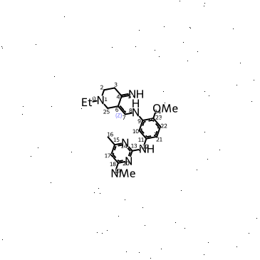 CCN1CCC(=N)/C(=C\Nc2cc(Nc3nc(C)cc(NC)n3)ccc2OC)C1